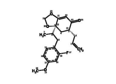 C=CC[C@@H]1C[C@@]2(C(C)Cc3ccc(OC)cc3F)OCOC2=CC1=O